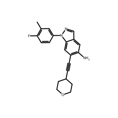 Cc1cc(-n2ncc3cc(N)c(C#CC4CCOCC4)cc32)ccc1F